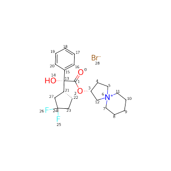 O=C(O[C@@H]1CC[N+]2(CCCCC2)C1)[C@](O)(c1ccccc1)[C@@H]1CCC(F)(F)C1.[Br-]